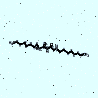 CCCCCCCCNCC(=O)NC(=O)NCCCCCCCC